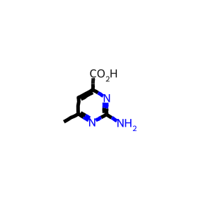 Cc1cc(C(=O)O)nc(N)n1